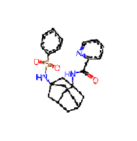 O=C(NC12CC3CC(C1)CC(NS(=O)(=O)c1ccccc1)(C3)C2)c1ccccn1